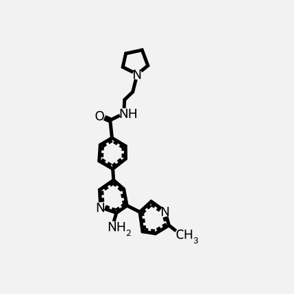 Cc1ccc(-c2cc(-c3ccc(C(=O)NCCN4CCCC4)cc3)cnc2N)cn1